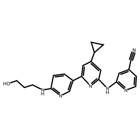 N#Cc1ccnc(Nc2cc(C3CC3)cc(-c3ccc(NCCCO)nc3)n2)c1